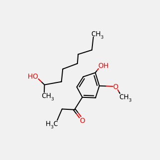 CCC(=O)c1ccc(O)c(OC)c1.CCCCCCC(C)O